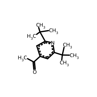 CC(=O)c1cc(C(C)(C)C)nc(C(C)(C)C)c1